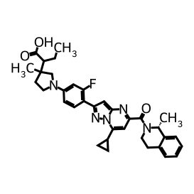 CCC(C(=O)O)C1(C)CCN(c2ccc(-c3cc4nc(C(=O)N5CCc6ccccc6[C@H]5C)cc(C5CC5)n4n3)c(F)c2)C1